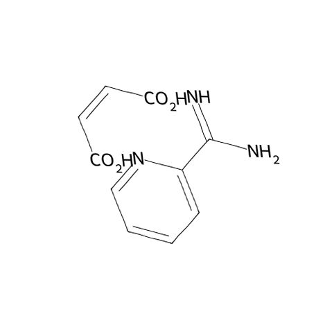 N=C(N)c1ccccn1.O=C(O)/C=C\C(=O)O